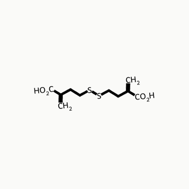 C=C(CCSSCCC(=C)C(=O)O)C(=O)O